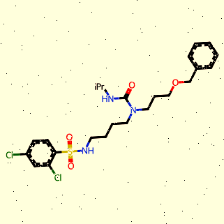 CC(C)NC(=O)N(C[CH]COCc1ccccc1)CCCCNS(=O)(=O)c1ccc(Cl)cc1Cl